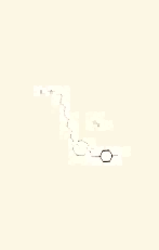 CCCCCCCCCCCCCCCCCCN1CCC[N+](C)(Cc2ccc(F)cc2)CC1.[Br-]